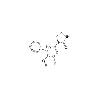 O=C1NCCN1C(=O)NC(=C(OF)OF)c1ccccc1